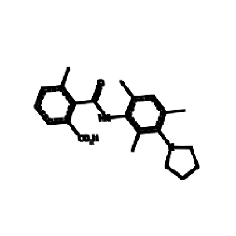 Cc1cc(C)c(N2CCCC2)c(C)c1NC(=O)c1c(C)cccc1C(=O)O